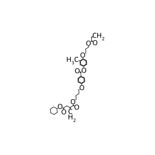 C=CC(=O)OCCCOc1ccc(OC(=O)c2ccc(OCCCCOC(=O)C(=C)CC(=O)OC3CCCCC3)cc2)cc1C